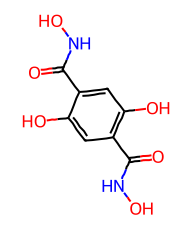 O=C(NO)c1cc(O)c(C(=O)NO)cc1O